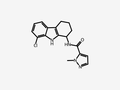 Cn1nccc1C(=O)NC1CCCc2c1[nH]c1c(Cl)cccc21